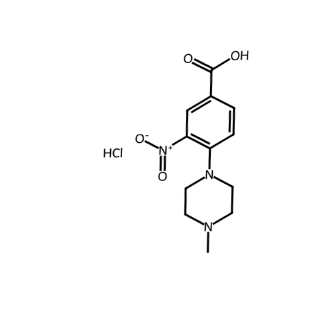 CN1CCN(c2ccc(C(=O)O)cc2[N+](=O)[O-])CC1.Cl